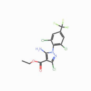 CCOC(=O)c1c(Cl)nn(-c2c(Cl)cc(C(F)(F)F)cc2Cl)c1N